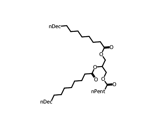 CCCCCCCCCCCCCCCCCC(=O)OCC(COC(=O)CCCCC)OC(=O)CCCCCCCCCCCCCCCCC